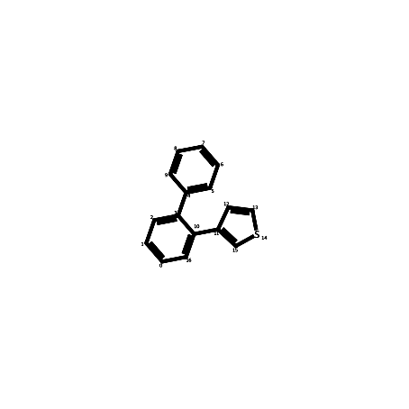 [c]1ccc(-c2ccccc2)c(-c2ccsc2)c1